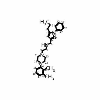 CCCc1cc(CNCCN2CCN(c3cccc(C)c3C)CC2)nn1-c1ccccc1